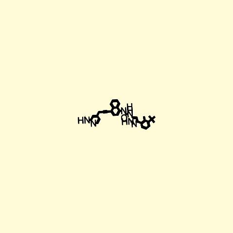 CNc1cc(CC#Cc2ccc(NC(=O)Nc3cc(-c4cccc(C(C)(C)C)c4C)n[nH]3)c3ccccc23)ccn1